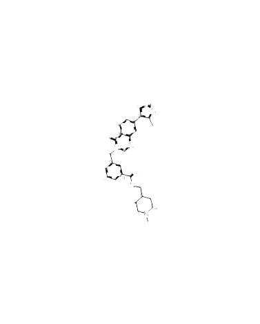 Cc1nocc1-c1ccc2c(=O)n(Cc3cccc(C(=O)NCC4CCN(C)CC4)c3)cnc2c1